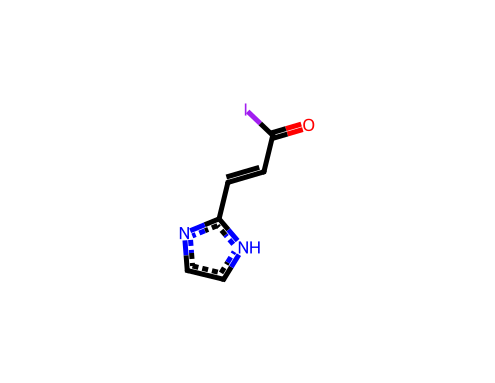 O=C(I)/C=C/c1ncc[nH]1